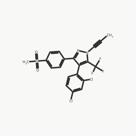 CC#Cn1nc(-c2ccc(S(C)(=O)=O)cc2)c(-c2ccc(Cl)cc2Cl)c1C(F)(F)F